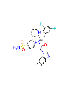 Cc1cc2ncn(CC(=O)N[C@@H](Cc3cc(F)cc(F)c3)c3ncccc3-c3cccc(S(N)(=O)=O)c3)c2cc1C